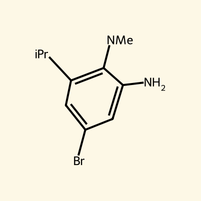 CNc1c(N)cc(Br)cc1C(C)C